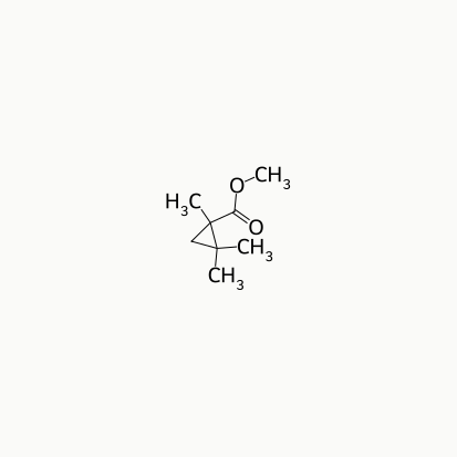 COC(=O)C1(C)CC1(C)C